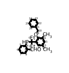 CCC(CC)(Pc1ccccc1C=O)c1cc(C)cc(C)c1OCc1ccccc1